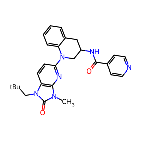 Cn1c(=O)n(CC(C)(C)C)c2ccc(N3CC(NC(=O)c4ccncc4)Cc4ccccc43)nc21